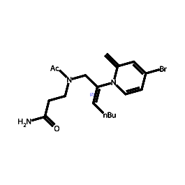 C=C1C=C(Br)C=CN1/C(=C\CCCC)CN(CCC(N)=O)C(C)=O